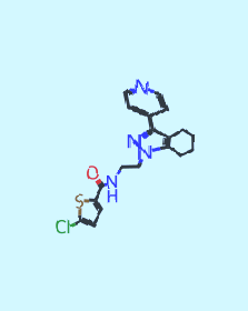 O=C(NCCn1nc(-c2ccncc2)c2c1CCCC2)c1ccc(Cl)s1